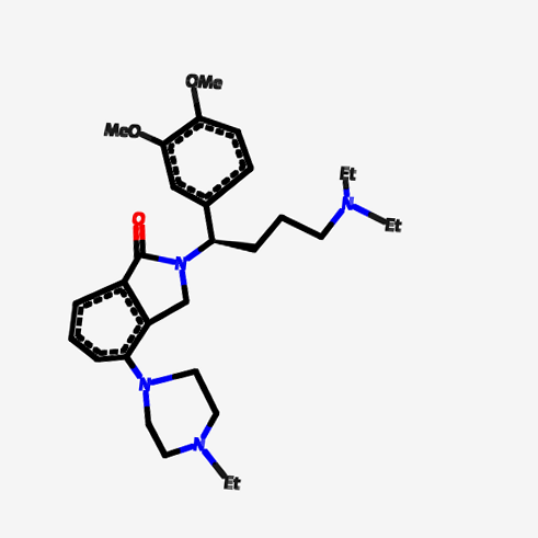 CCN(CC)CCC[C@H](c1ccc(OC)c(OC)c1)N1Cc2c(cccc2N2CCN(CC)CC2)C1=O